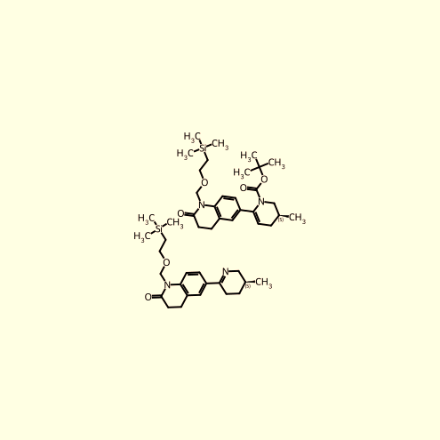 C[C@H]1CC=C(c2ccc3c(c2)CCC(=O)N3COCC[Si](C)(C)C)N(C(=O)OC(C)(C)C)C1.C[C@H]1CCC(c2ccc3c(c2)CCC(=O)N3COCC[Si](C)(C)C)=NC1